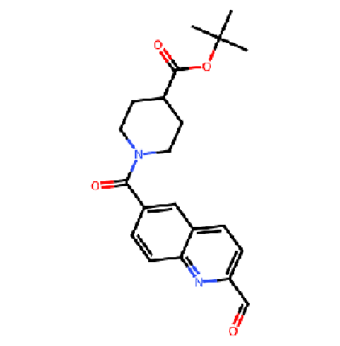 CC(C)(C)OC(=O)C1CCN(C(=O)c2ccc3nc(C=O)ccc3c2)CC1